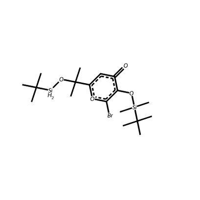 CC(C)(C)[SiH2]OC(C)(C)c1cc(=O)c(O[Si](C)(C)C(C)(C)C)c(Br)o1